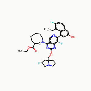 CCOC(=O)C1CCCCCN(c2nc(OC[C@@]34CCCN3C[C@H](F)C4)nc3c(F)c(-c4cc(O)cc5ccc(F)c(CC)c45)ncc23)C1